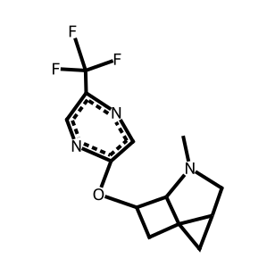 CN1CC2CC23CC(Oc2cnc(C(F)(F)F)cn2)C13